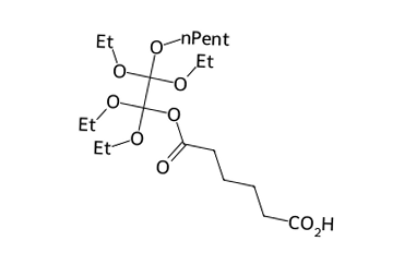 CCCCCOC(OCC)(OCC)C(OCC)(OCC)OC(=O)CCCCC(=O)O